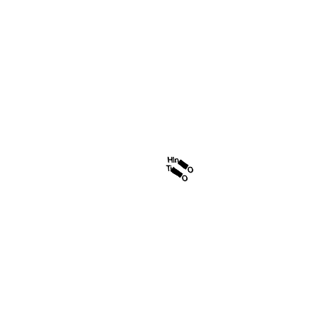 [O]=[InH].[O]=[Ti]